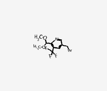 COC(OC)c1ncc(CBr)cc1C(F)(F)F